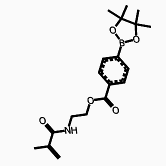 C=C(C)C(=O)NCCOC(=O)c1ccc(B2OC(C)(C)C(C)(C)O2)cc1